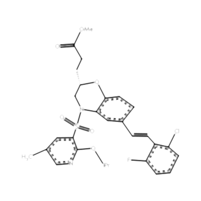 COC(=O)CC[C@H]1CN(S(=O)(=O)c2cc(C)cnc2OC(C)C)c2cc(/C=C/c3c(F)cccc3Cl)ccc2O1